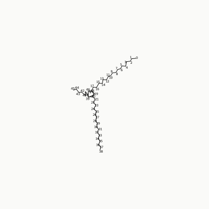 CCCCCCCCCCCCCCCCCCc1cc(CCCCCCCCCCCCCCCCCC)c[n+](CCCCC)c1